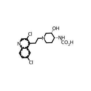 O=C(O)N[C@@H]1CCN(CCc2c(Cl)cnc3ccc(Cl)cc23)C[C@@H]1O